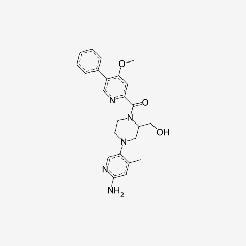 COc1cc(C(=O)N2CCN(c3cnc(N)cc3C)CC2CO)ncc1-c1ccccc1